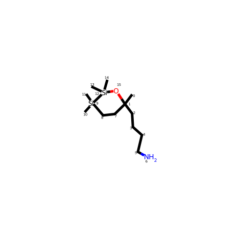 CC1(CCCCN)CC[Si](C)(C)[Si](C)(C)O1